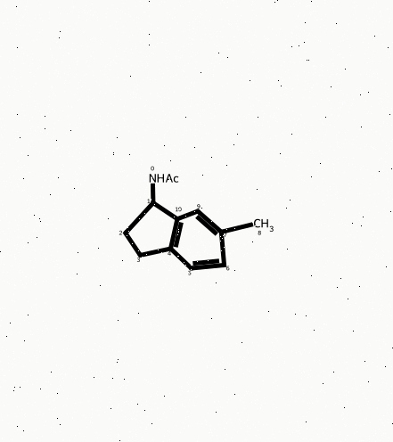 CC(=O)NC1CCc2ccc(C)cc21